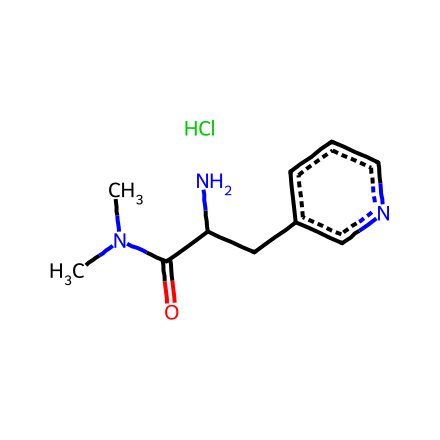 CN(C)C(=O)C(N)Cc1cccnc1.Cl